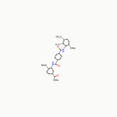 COC(=O)c1ccc(OC)c(NC(=O)c2ccc(C(=O)Nc3c(OC)ccc(C(=O)O)c3C)cc2)c1